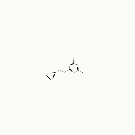 ClC(Cl)(Cl)c1nc(CCc2ccco2)nc(C(Cl)(Cl)Cl)n1